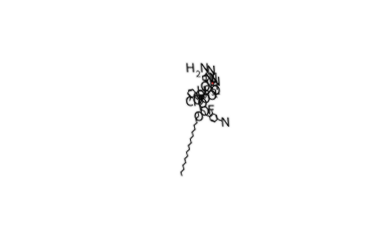 CCCCCCCCCCCCCCCCCCOC[C@H](COP(=O)(Oc1ccccc1Cl)OC1[C@H]2O[C@@](C#N)(c3ccc4c(N)ncnn34)[C@@H]3OC(C)(C)O[C@]123)OCc1ccc(C#N)cc1F